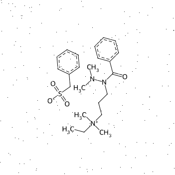 CC[N+](C)(C)CCCN(C(=O)c1ccccc1)N(C)C.O=S(=O)([O-])Cc1ccccc1